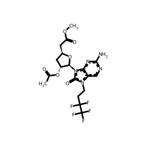 COC(=O)C[C@@H]1C[C@@H](OC(C)=O)[C@H](n2c(=O)n(CCC(F)(F)C(F)(F)F)c3cnc(N)nc32)O1